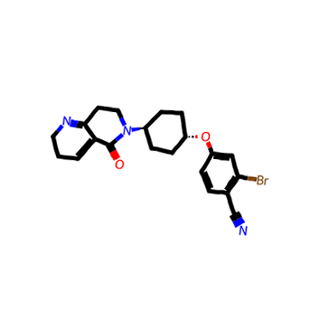 N#Cc1ccc(O[C@H]2CC[C@H](N3CCC4=NCCC=C4C3=O)CC2)cc1Br